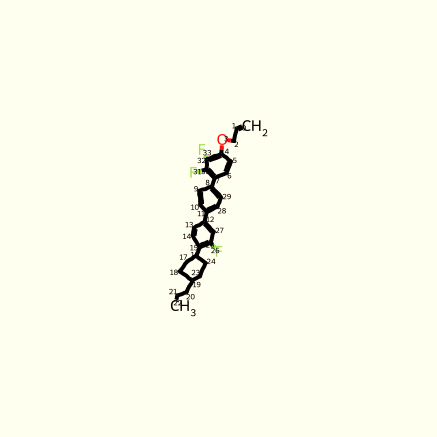 C=CCOc1ccc(-c2ccc(-c3ccc(C4CCC(CCC)CC4)c(F)c3)cc2)c(F)c1F